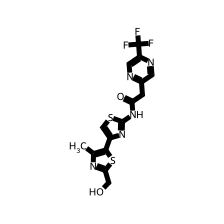 Cc1nc(CO)sc1-c1csc(NC(=O)Cc2cnc(C(F)(F)F)cn2)n1